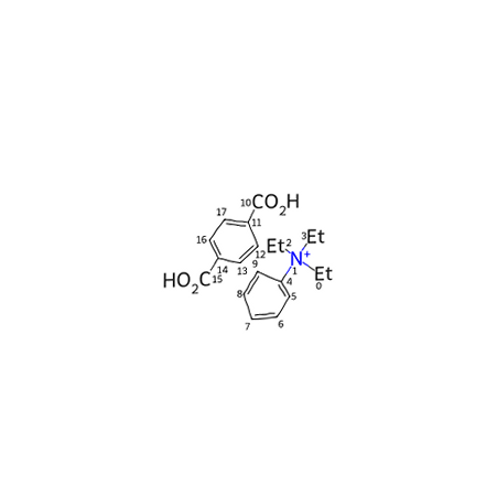 CC[N+](CC)(CC)c1ccccc1.O=C(O)c1ccc(C(=O)O)cc1